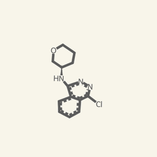 Clc1nnc(N[C@@H]2CCCOC2)c2ccccc12